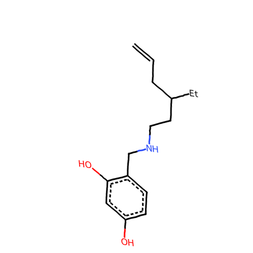 C=CCC(CC)CCNCc1ccc(O)cc1O